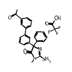 CC(=O)c1cccc(-c2cccc(C3(c4ccccc4)N=C(N)N(C)C3=O)c2)c1.O=C(O)C(F)(F)F